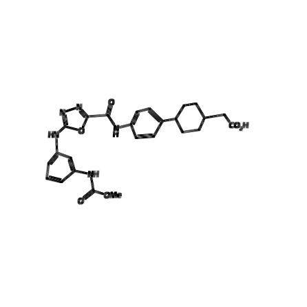 COC(=O)Nc1cccc(Nc2nnc(C(=O)Nc3ccc(C4CCC(CC(=O)O)CC4)cc3)o2)c1